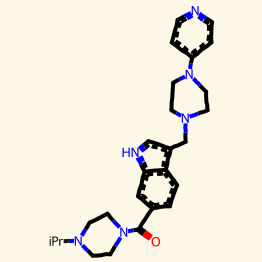 CC(C)N1CCN(C(=O)c2ccc3c(CN4CCN(c5ccncc5)CC4)c[nH]c3c2)CC1